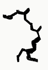 C/C=C\C(=C/C=CC(C)/C=C/C/C(C)=N\OC)OC